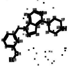 CCOc1cccc(Cn2ncc3c(N4CCNCC4)ncnc32)n1